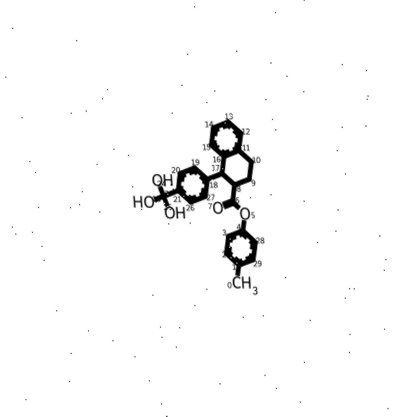 Cc1ccc(OC(=O)C2CCc3ccccc3C2c2ccc(C(O)(O)O)cc2)cc1